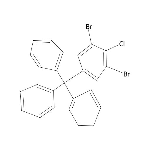 Clc1c(Br)cc(C(c2ccccc2)(c2ccccc2)c2ccccc2)cc1Br